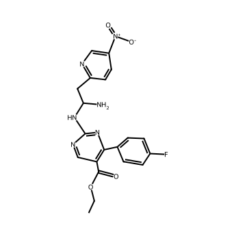 CCOC(=O)c1cnc(NC(N)Cc2ccc([N+](=O)[O-])cn2)nc1-c1ccc(F)cc1